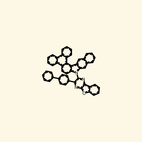 c1ccc(-c2ccc(-c3nc4oc5ccccc5c4nc3-n3c4cc5ccccc5cc4c4c5c6ccccc6c6ccccc6c5ccc43)cc2)cc1